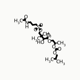 CC(=O)NCCCS(=O)(=O)OCC(C)(C)C(O)C(=O)OC[C@@H](C)OC(=O)OCC(C)C